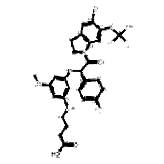 COc1cc(NC(C(=O)N2CCc3cc(F)c(OC(F)(F)F)cc32)C2=CC=C(Cl)CC2)cc(OCCCC(=O)O)c1